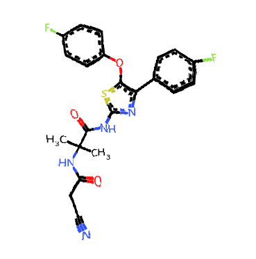 CC(C)(NC(=O)CC#N)C(=O)Nc1nc(-c2ccc(F)cc2)c(Oc2ccc(F)cc2)s1